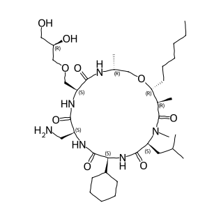 CCCCCC[C@H]1OC[C@@H](C)NC(=O)[C@H](COC[C@H](O)CO)NC(=O)[C@H](CN)NC(=O)[C@H](C2CCCCC2)NC(=O)[C@H](CC(C)C)N(C)C(=O)[C@@H]1C